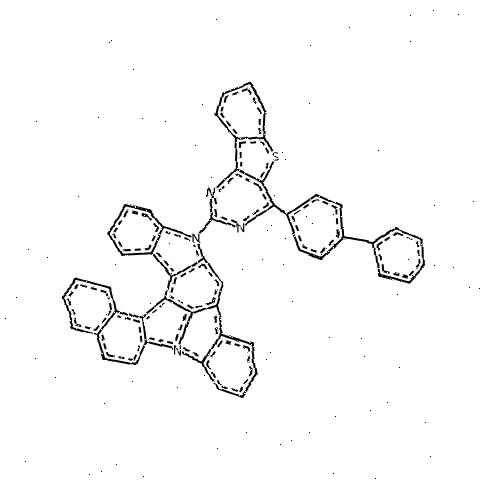 c1ccc(-c2ccc(-c3nc(-n4c5ccccc5c5c6c7c8ccccc8ccc7n7c8ccccc8c(cc54)c67)nc4c3sc3ccccc34)cc2)cc1